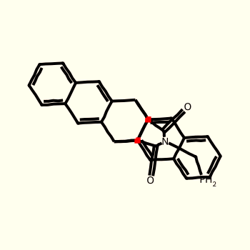 O=C1C2C3c4cc5ccccc5cc4C(c4cc5ccccc5cc43)C2C(=O)N1CP